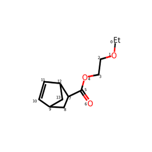 CCOCCOC(=O)C1CC2C=CC1C2